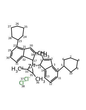 CC1=Cc2c(C3CCCCC3)cccc2[CH]1[Zr+2]1([CH]2C(C)=Cc3c(C4CCCCC4)cccc32)[CH](C)[CH]1C.[Cl-].[Cl-]